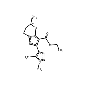 CCOC(=O)c1c(-c2cnn(C)c2C)nn2c1O[C@H](C)CC2